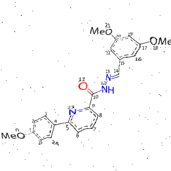 COc1ccc(-c2cccc(C(=O)NN=Cc3cc(OC)cc(OC)c3)n2)cc1